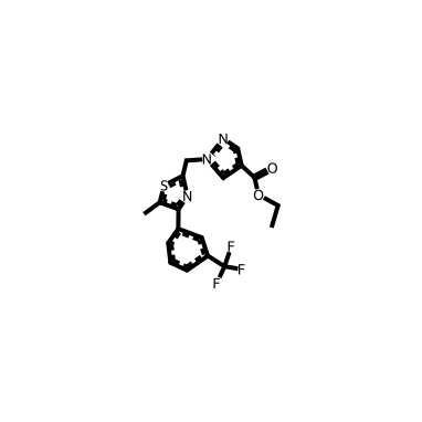 CCOC(=O)c1cnn(Cc2nc(-c3cccc(C(F)(F)F)c3)c(C)s2)c1